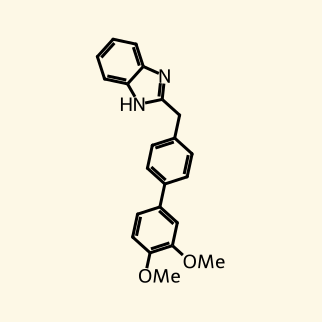 COc1ccc(-c2ccc(Cc3nc4ccccc4[nH]3)cc2)cc1OC